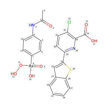 CC(=O)Nc1ccc([As](=O)(O)OO)cc1.O=C(O)c1nc(-c2cc3ccccc3s2)ccc1Cl